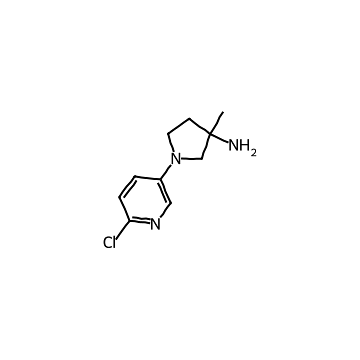 CC1(N)CCN(c2ccc(Cl)nc2)C1